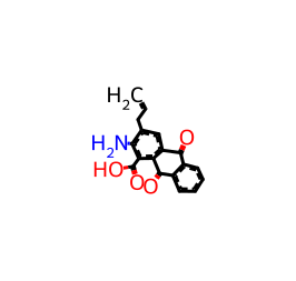 C=CCc1cc2c(c(C(=O)O)c1N)C(=O)c1ccccc1C2=O